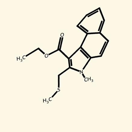 CCOC(=O)c1c(CSC)n(C)c2ccc3ccccc3c12